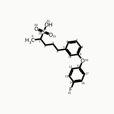 CC(CCCc1cccc(Oc2ccc(F)cc2)c1)S(=O)(=O)O